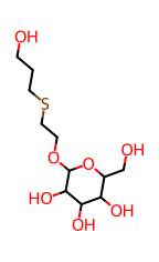 OCCCSCCOC1OC(CO)C(O)C(O)C1O